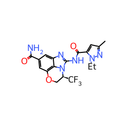 CCn1nc(C)cc1C(=O)Nc1nc2cc(C(N)=O)cc3c2n1[C@@H](C(F)(F)F)CO3